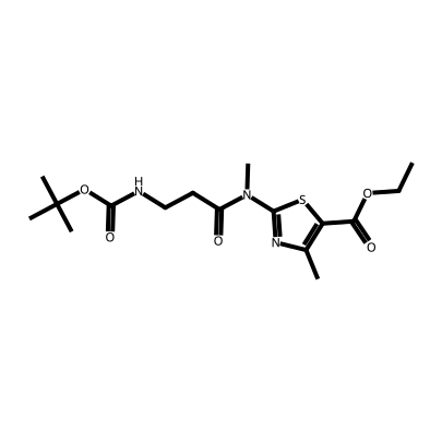 CCOC(=O)c1sc(N(C)C(=O)CCNC(=O)OC(C)(C)C)nc1C